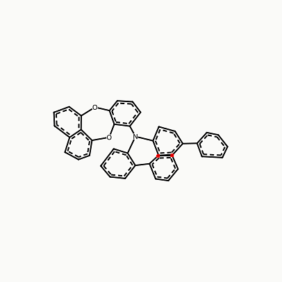 c1ccc(-c2ccc(N(c3ccccc3-c3ccccc3)c3cccc4c3Oc3cccc5cccc(c35)O4)cc2)cc1